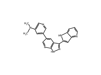 CN(C)c1cncc(-c2cnc3[nH]nc(-c4cc5ncccc5[nH]4)c3c2)c1